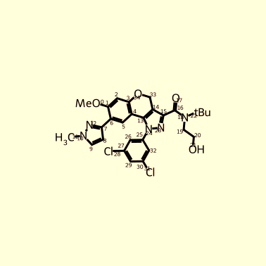 COc1cc2c(cc1-c1ccn(C)n1)-c1c(c(C(=O)N(CCO)C(C)(C)C)nn1-c1cc(Cl)cc(Cl)c1)CO2